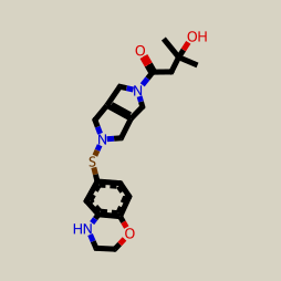 CC(C)(O)CC(=O)N1CC2=C(CN(Sc3ccc4c(c3)NCCO4)C2)C1